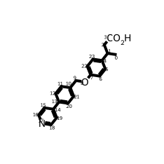 CC(CC(=O)O)c1ccc(OCc2ccc(-c3ccncc3)cc2)cc1